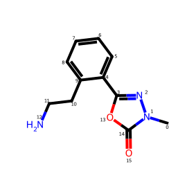 Cn1nc(-c2ccccc2CCN)oc1=O